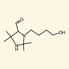 CC1(C)NC(C)(C)N(CCCCO)C1C=O